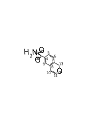 NS(=O)(=O)c1ccc2c(c1)C=COC2